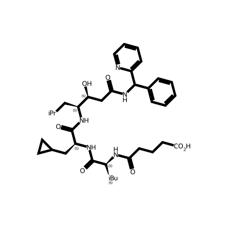 CC[C@H](C)[C@H](NC(=O)CCCC(=O)O)C(=O)N[C@@H](CC1CC1)C(=O)N[C@@H](CC(C)C)[C@@H](O)CC(=O)NC(c1ccccc1)c1ccccn1